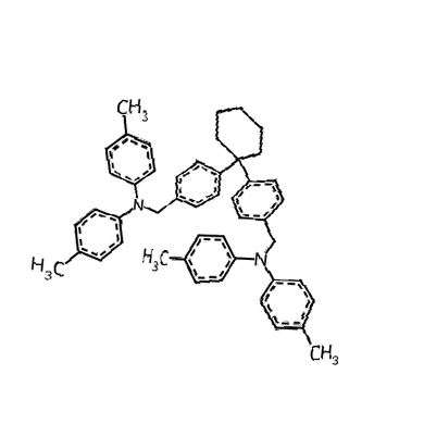 Cc1ccc(N(Cc2ccc(C3(c4ccc(CN(c5ccc(C)cc5)c5ccc(C)cc5)cc4)CCCCC3)cc2)c2ccc(C)cc2)cc1